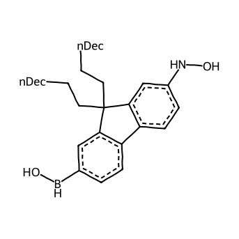 CCCCCCCCCCCCC1(CCCCCCCCCCCC)c2cc(BO)ccc2-c2ccc(NO)cc21